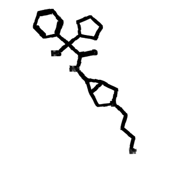 CC(C)CCCN1CC2C(C1)C2NC(=O)C(O)(c1ccccc1)C1CCCC1